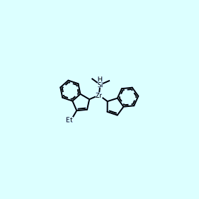 CCC1=C[CH]([Zr]([CH]2C=Cc3ccccc32)[SiH](C)C)c2ccccc21